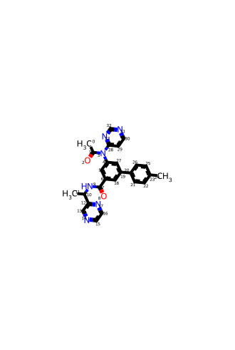 CC(=O)N(c1cc(C(=O)NC(C)c2cnccn2)cc(-c2ccc(C)cc2)c1)c1ccncn1